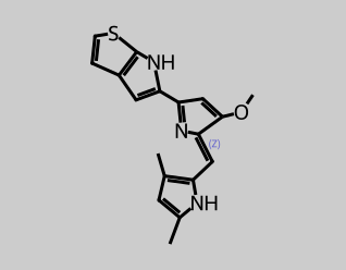 COC1=CC(c2cc3ccsc3[nH]2)=N/C1=C\c1[nH]c(C)cc1C